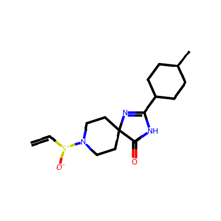 C=C[S+]([O-])N1CCC2(CC1)N=C(C1CCC(C)CC1)NC2=O